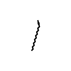 CC#CCCCCCCCCCCCCCC